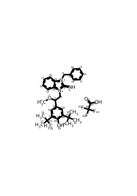 COC(Cn1c(=N)n(Cc2ccccc2)c2ccccc21)c1cc(C(C)(C)C)c(O)c(C(C)(C)C)c1.O=C(O)C(F)(F)F